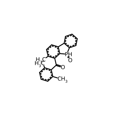 Cc1cccc(C)c1C(=O)c1c(C)ccc2c1[PH](=O)c1ccccc1-2